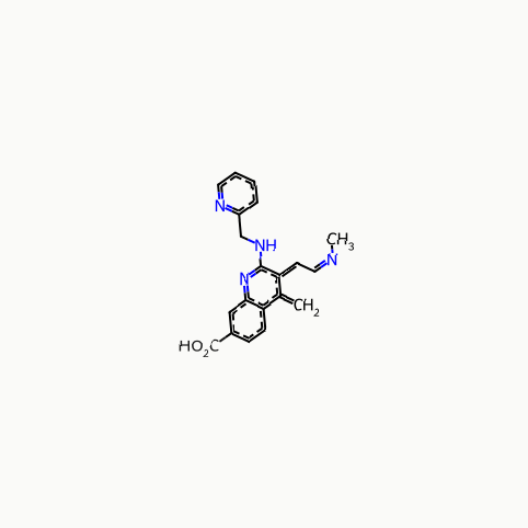 C=c1/c(=C\C=N/C)c(NCc2ccccn2)nc2cc(C(=O)O)ccc12